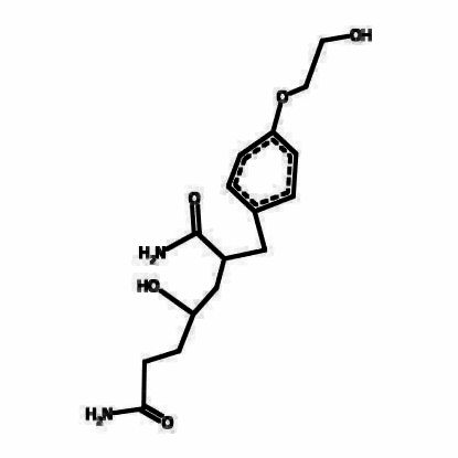 NC(=O)CCC(O)CC(Cc1ccc(OCCO)cc1)C(N)=O